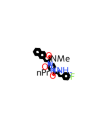 CCCC1C(=O)N(C(Cc2ccc3ccccc3c2)C(=O)NC)CCN1C(=O)C(N)Cc1ccc(F)cc1